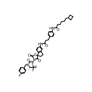 C[C@H](N(Cc1ccc(F)cc1)C(=O)CN1C(=O)OC2(CCc3cc(NC(=O)CCc4ccc(NC(=O)CCCCCC5CCC5)cc4)ccc32)C1=O)C(F)(F)F